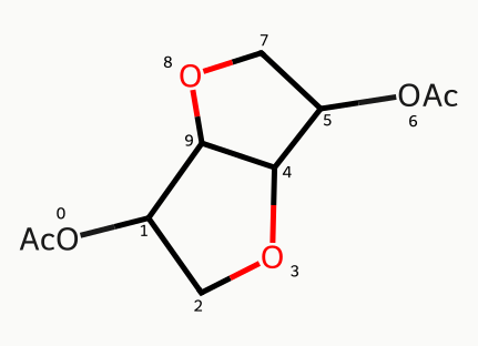 CC(=O)OC1COC2C(OC(C)=O)COC12